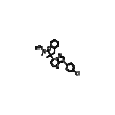 CCCN(C)C(=O)C(C)(Cc1ccccc1)c1ccnc2c(-c3ccc(Cl)cc3)cnn12